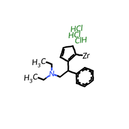 CCN(CC)CC(C1=[C]([Zr])CC=C1)c1ccccc1.Cl.Cl.Cl